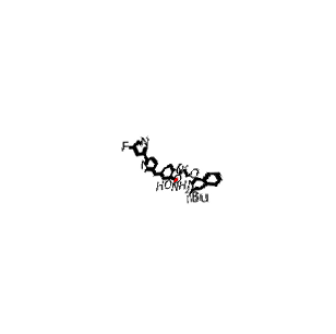 CCCCc1cc2ccccc2c(OCC[N+](C)(C)[C@H]2CCC(Cc3ccc(-c4cncc(F)c4)nc3)C[C@@]2(O)C(N)=O)n1